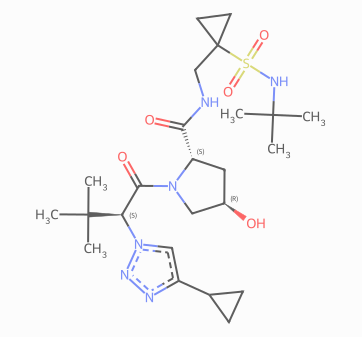 CC(C)(C)NS(=O)(=O)C1(CNC(=O)[C@@H]2C[C@@H](O)CN2C(=O)[C@@H](n2cc(C3CC3)nn2)C(C)(C)C)CC1